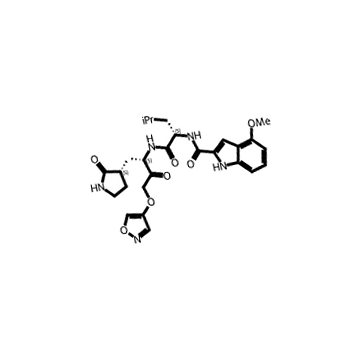 COc1cccc2[nH]c(C(=O)N[C@@H](CC(C)C)C(=O)N[C@@H](C[C@@H]3CCNC3=O)C(=O)COc3cnoc3)cc12